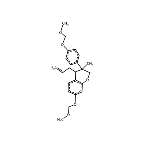 C=CCC1c2ccc(OCOC)cc2OCC1(C)c1ccc(OCOC)cc1